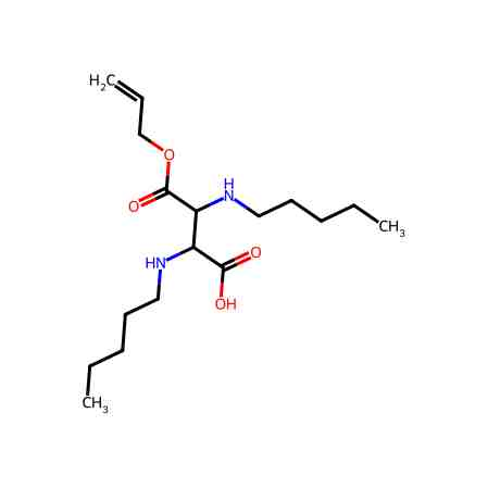 C=CCOC(=O)C(NCCCCC)C(NCCCCC)C(=O)O